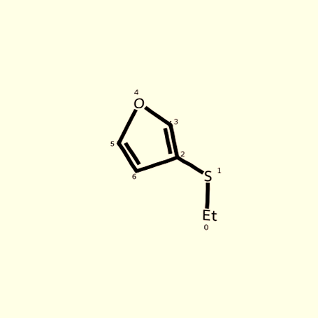 CCSc1[c]occ1